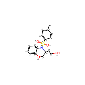 Cc1ccc(S(=O)(=O)N2c3ccccc3OCC2CCO)cc1